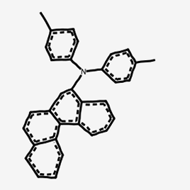 Cc1ccc(N(c2ccc(C)cc2)c2cc3ccc4ccccc4c3c3ccccc23)cc1